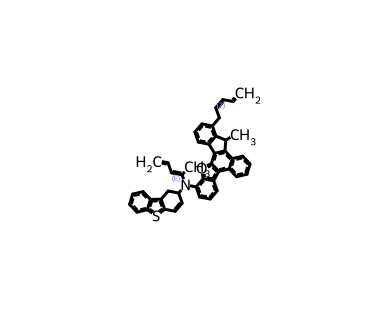 C=C/C=C\Cc1cccc2c1C(C)c1c-2c2oc3c(N(/C(C)=C/C=C)C4C=Cc5sc6ccccc6c5C4)cccc3c2c2ccccc12